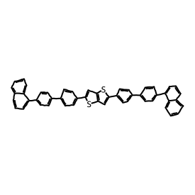 c1ccc2c(-c3ccc(-c4ccc(-c5cc6sc(-c7ccc(-c8ccc(-c9cccc%10ccccc9%10)cc8)cc7)cc6s5)cc4)cc3)cccc2c1